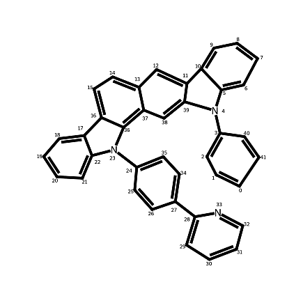 c1ccc(-n2c3ccccc3c3cc4ccc5c6ccccc6n(-c6ccc(-c7ccccn7)cc6)c5c4cc32)cc1